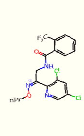 CCCO/N=C(/CNC(=O)c1ccccc1C(F)(F)F)c1ncc(Cl)cc1Cl